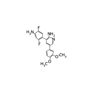 COc1ccc(-c2cnc(N)c(-c3cc(F)c(N)cc3F)c2)cc1OC